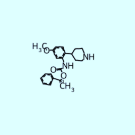 COc1ccc(C2CCNCC2)c(NC(=O)O[C@H](C)c2ccccc2)c1